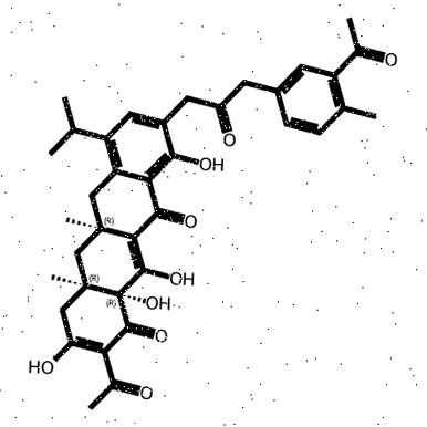 CC(=O)C1=C(O)C[C@@]2(C)C[C@@]3(C)Cc4c(C(C)C)cc(CC(=O)Cc5ccc(C)c(C(C)=O)c5)c(O)c4C(=O)C3=C(O)[C@@]2(O)C1=O